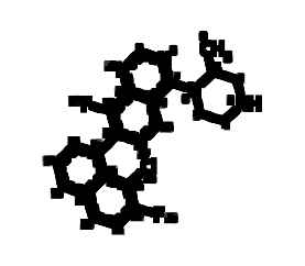 CC1CNCCN1c1ncnc2c(F)c(-c3cccc4ccc(F)c(Cl)c34)ncc12